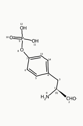 N[C@H]([C]=O)Cc1ccc(OP(=O)(O)O)cc1